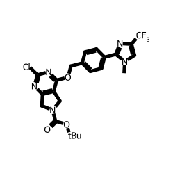 Cn1cc(C(F)(F)F)nc1-c1ccc(COc2nc(Cl)nc3c2CN(C(=O)OC(C)(C)C)C3)cc1